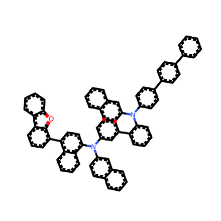 c1ccc(-c2ccc(-c3ccc(N(c4ccc5ccccc5c4)c4ccccc4-c4cccc(N(c5ccc6ccccc6c5)c5ccc(-c6cccc7c6oc6ccccc67)c6ccccc56)c4)cc3)cc2)cc1